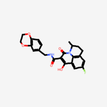 CC1CCc2cc(F)cc3c(O)c(C(=O)NCc4ccc5c(c4)OCCO5)c(=O)n1c23